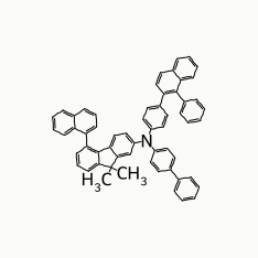 CC1(C)c2cc(N(c3ccc(-c4ccccc4)cc3)c3ccc(-c4ccc5ccccc5c4-c4ccccc4)cc3)ccc2-c2c(-c3cccc4ccccc34)cccc21